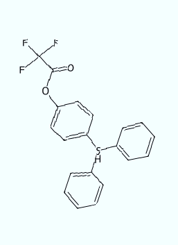 O=C(Oc1ccc([SH](c2ccccc2)c2ccccc2)cc1)C(F)(F)F